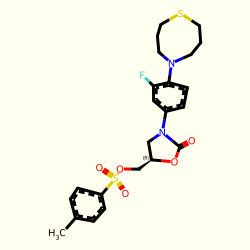 Cc1ccc(S(=O)(=O)OC[C@H]2CN(c3ccc(N4CCCSCCC4)c(F)c3)C(=O)O2)cc1